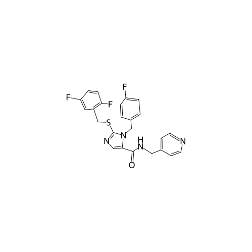 O=C(NCc1ccncc1)c1cnc(SCc2cc(F)ccc2F)n1Cc1ccc(F)cc1